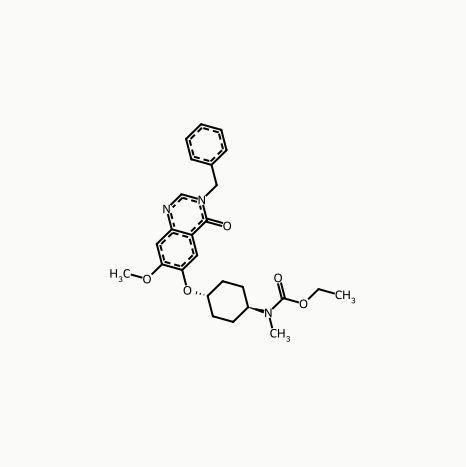 CCOC(=O)N(C)[C@H]1CC[C@H](Oc2cc3c(=O)n(Cc4ccccc4)cnc3cc2OC)CC1